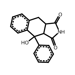 O=C1NC(=O)C2C1Cc1ccccc1C2(O)c1ccccc1